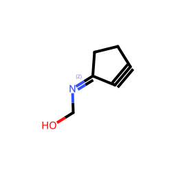 OC/N=C1\C#CCC1